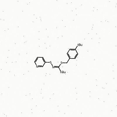 CCCCC(=NSc1cccnc1)SCc1ccc(C(C)(C)C)cc1